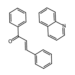 O=C(C=Cc1ccccc1)c1ccccc1.c1ccc2ncccc2c1